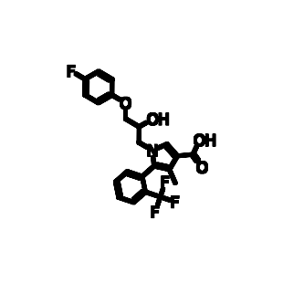 Cc1c(C(=O)O)cn(CC(O)COc2ccc(F)cc2)c1-c1ccccc1C(F)(F)F